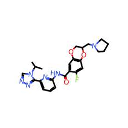 CC(C)n1cnnc1-c1cccc(NC(=O)c2cc3c(cc2F)OC(CN2CCCC2)CO3)n1